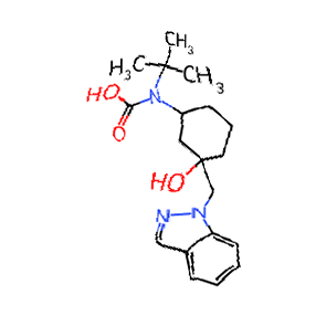 CC(C)(C)N(C(=O)O)C1CCCC(O)(Cn2ncc3ccccc32)C1